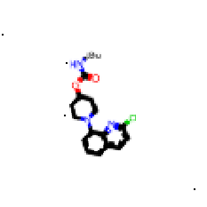 CC(C)(C)NC(=O)OC1CCN(c2cccc3ccc(Cl)nc23)CC1